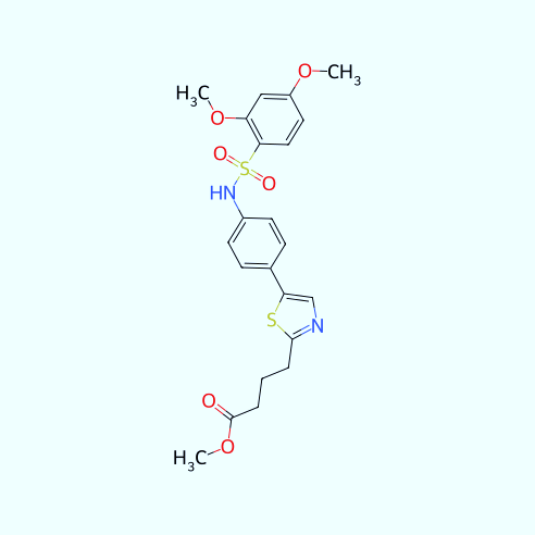 COC(=O)CCCc1ncc(-c2ccc(NS(=O)(=O)c3ccc(OC)cc3OC)cc2)s1